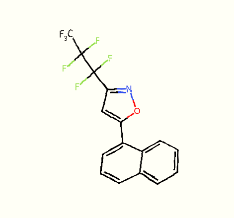 FC(F)(F)C(F)(F)C(F)(F)c1cc(-c2cccc3ccccc23)on1